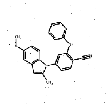 COc1ccc2c(c1)cc(C)n2-c1ccc(C#N)c(Nc2ccccc2)c1